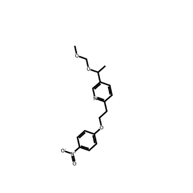 COCOC(C)c1ccc(CCOc2ccc([N+](=O)[O-])cc2)nc1